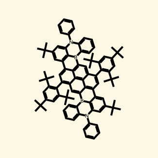 CC(C)(C)c1cc2c3c(c1)N(c1ccccc1)c1ccccc1B3c1cc3c(-c4c(C(C)(C)C)cc(C(C)(C)C)cc4C(C)(C)C)cc4c5c(cc6c(-c7c(C(C)(C)C)cc(C(C)(C)C)cc7C(C)(C)C)cc-2c1c6c35)B1c2ccccc2N(c2ccccc2)c2cc(C(C)(C)C)cc-4c21